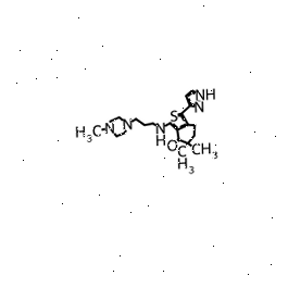 CN1CCN(CCCNc2sc(-c3cc[nH]n3)c3c2C(=O)C(C)(C)CC3)CC1